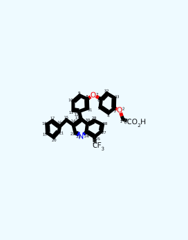 O=C(O)COc1ccc(Oc2cccc(-c3c(Cc4ccccc4)cnc4c(C(F)(F)F)cccc34)c2)cc1